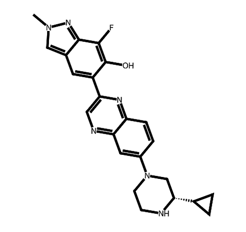 Cn1cc2cc(-c3cnc4cc(N5CCN[C@@H](C6CC6)C5)ccc4n3)c(O)c(F)c2n1